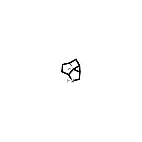 C1CC2NCC3C4CC1[C@@]234